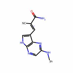 CC(C)Nc1cnc2[nH]cc(/C=C(\C#N)C(N)=O)c2n1